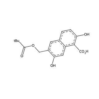 CC(C)(C)C(=O)OCc1cc2ccc(O)c(C(=O)O)c2cc1O